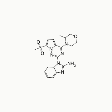 CC1COCCN1c1nc(-n2c(N)nc3ccccc32)nn2c(S(C)(=O)=O)ccc12